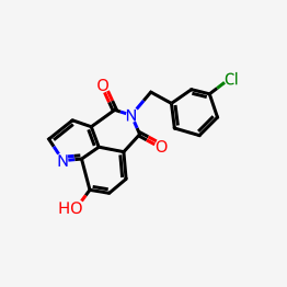 O=C1c2ccnc3c(O)ccc(c23)C(=O)N1Cc1cccc(Cl)c1